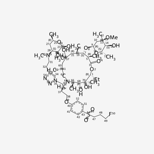 CC[C@H]1OC(=O)[C@H](C)[C@@H](O[C@H]2C[C@@](C)(OC)[C@@H](O)[C@H](C)O2)[C@H](C)[C@@H](O[C@@H]2O[C@H](C)C[C@H](N(C)CCc3cn(CCCOc4ccc(S(=O)(=O)CCCF)cc4)nn3)[C@H]2O)[C@](C)(O)C[C@@H](C)CN(C)[C@H](C)[C@@H](O)[C@]1(C)O